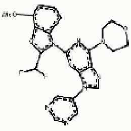 COc1cccc2c1nc(C(F)F)n2-c1nc(N2CCOCC2)c2ncn(-c3cncnc3)c2n1